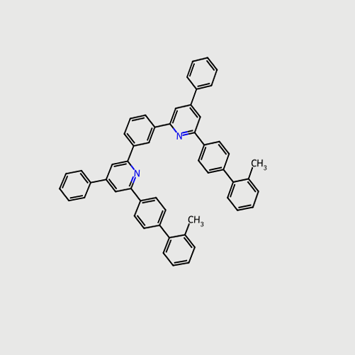 Cc1ccccc1-c1ccc(-c2cc(-c3ccccc3)cc(-c3cccc(-c4cc(-c5ccccc5)cc(-c5ccc(-c6ccccc6C)cc5)n4)c3)n2)cc1